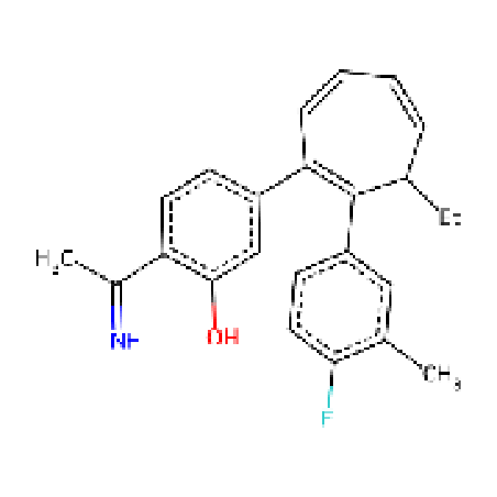 CCC1C=CC=CC(c2ccc(C(C)=N)c(O)c2)=C1c1ccc(F)c(C)c1